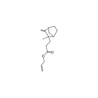 C=CCOC(=O)CCC1(C)C(=C)C2CCC1C2